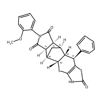 COc1ccccc1N1C(=O)[C@@H]2[C@H]3C[C@@H]([C@@H]2C1=O)[C@@H]1[C@@H](c2ccccc2)c2sc(=O)[nH]c2S[C@H]31